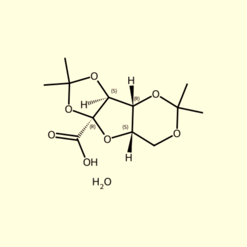 CC1(C)OC[C@@H]2O[C@@]3(C(=O)O)OC(C)(C)O[C@H]3[C@@H]2O1.O